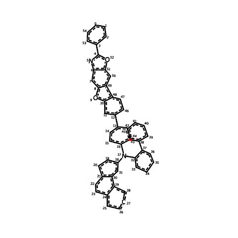 c1ccc(-c2nc3cc4oc5cc(-c6ccc(N(c7ccc8ccc9ccccc9c8c7)c7ccccc7-c7ccccc7)cc6)ccc5c4cc3o2)cc1